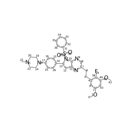 COc1cc(CCc2cnc3c(cc(-c4ccc(N5CCN(C)CC5)cc4)n3S(=O)(=O)c3ccccc3)n2)c(F)c(OC)c1